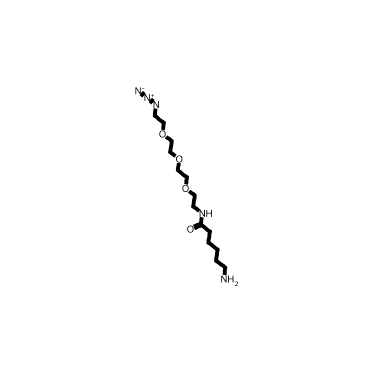 [N-]=[N+]=NCCOCCOCCOCCNC(=O)CCCCCN